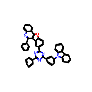 c1ccc(-c2nc(-c3cccc(-n4c5ccccc5c5ccccc54)c3)nc(-c3ccc4oc5c6ccccc6nc(-c6ccccc6)c5c4c3)n2)cc1